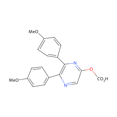 COc1ccc(-c2ncc(OC(=O)O)nc2-c2ccc(OC)cc2)cc1